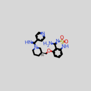 N=C(c1ccncc1)N1CCC[C@H](COc2cccc3c2C(N)=NS(=O)(=O)N3)C1